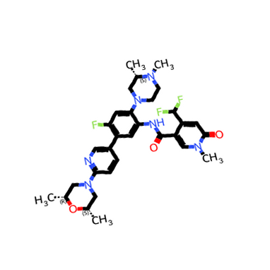 C[C@@H]1CN(c2ccc(-c3cc(NC(=O)c4cn(C)c(=O)cc4C(F)F)c(N4CCN(C)[C@@H](C)C4)cc3F)cn2)C[C@H](C)O1